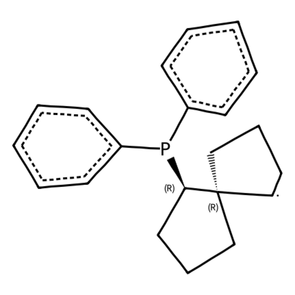 [CH]1CCC[C@@]12CCC[C@H]2P(c1ccccc1)c1ccccc1